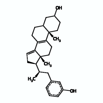 C[C@H](Cc1cccc(O)c1)[C@H]1CC=C2C3=C(CC[C@@]21C)[C@@]1(C)CCC(O)CC1CC3